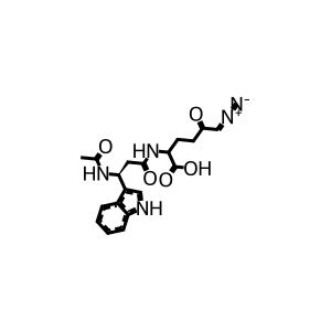 CC(=O)N[C@@H](CC(=O)NC(CCC(=O)C=[N+]=[N-])C(=O)O)c1c[nH]c2ccccc12